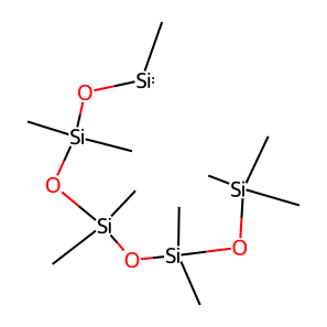 C[Si]O[Si](C)(C)O[Si](C)(C)O[Si](C)(C)O[Si](C)(C)C